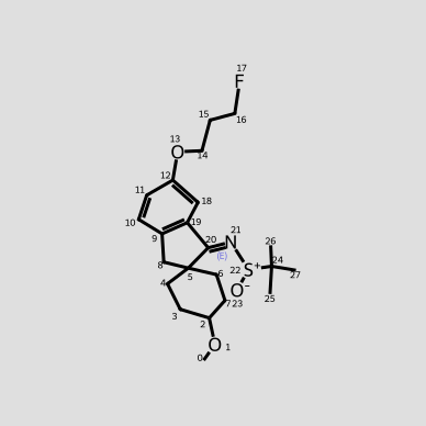 COC1CCC2(CC1)Cc1ccc(OCCCF)cc1/C2=N/[S+]([O-])C(C)(C)C